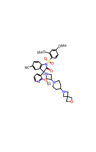 CCOc1ncccc1[C@]1(N2CC(N3CCC(N4CC5(COC5)C4)CC3)C2)C(=O)N(S(=O)(=O)c2ccc(OC)cc2OC)c2ccc(C#N)cc21